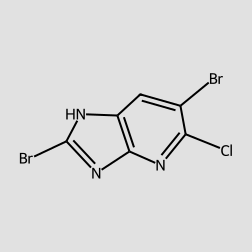 Clc1nc2nc(Br)[nH]c2cc1Br